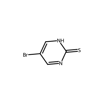 S=c1ncc(Br)c[nH]1